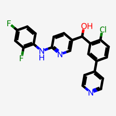 OC(c1ccc(Nc2ccc(F)cc2F)nc1)c1cc(-c2ccncc2)ccc1Cl